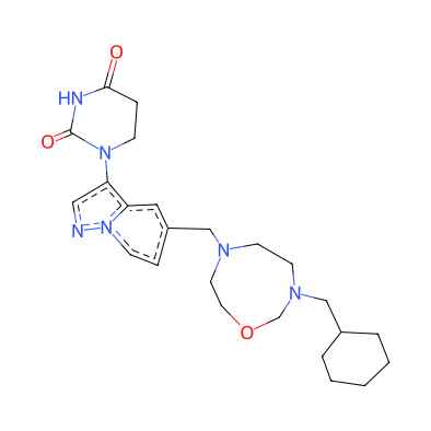 O=C1CCN(c2cnn3ccc(CN4CCOCN(CC5CCCCC5)CC4)cc23)C(=O)N1